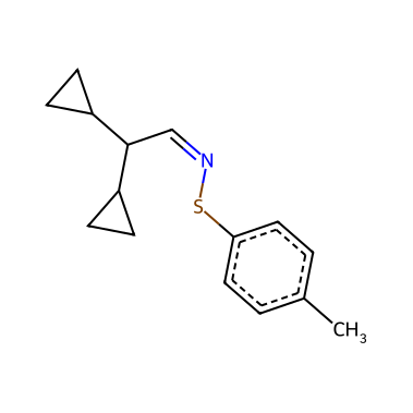 Cc1ccc(S/N=C\C(C2CC2)C2CC2)cc1